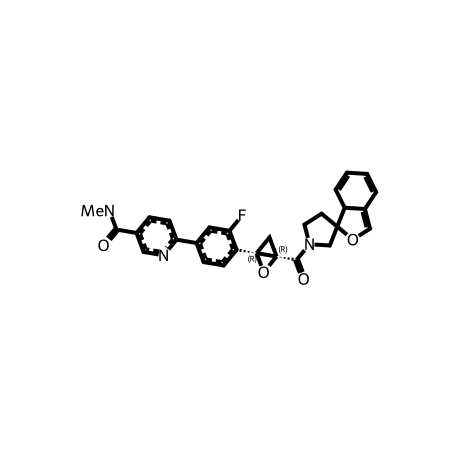 CNC(=O)c1ccc(-c2ccc([C@]34C[C@@]3(C(=O)N3CCC5(C3)OC=C3C=CC=CC35)O4)c(F)c2)nc1